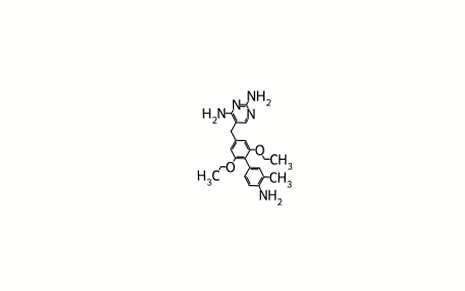 CCOc1cc(Cc2cnc(N)nc2N)cc(OCC)c1-c1ccc(N)c(C)c1